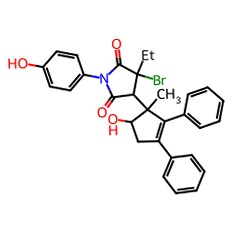 CCC1(Br)C(=O)N(c2ccc(O)cc2)C(=O)C1C1(C)C(c2ccccc2)=C(c2ccccc2)CC1O